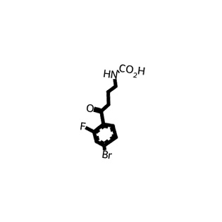 O=C(O)NCCCC(=O)c1ccc(Br)cc1F